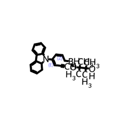 C#C/C=C(\C=C/CBOC(C)(C)C(C)(C)O)N1c2ccccc2C2=CC=CCC21